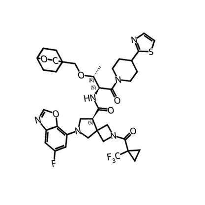 C[C@@H](OCC12CCC(CC1)OC2)[C@H](NC(=O)[C@@H]1CN(c2cc(F)cc3ncoc23)CC12CN(C(=O)C1(C(F)(F)F)CC1)C2)C(=O)N1CCC(c2nccs2)CC1